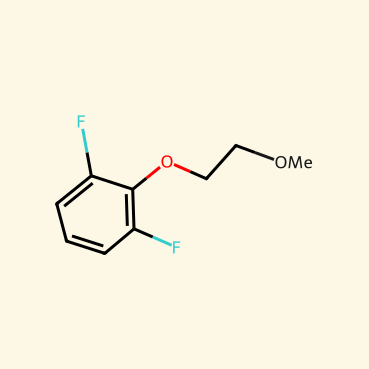 COCCOc1c(F)cccc1F